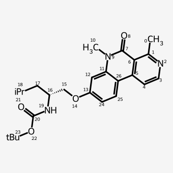 Cc1nccc2c1c(=O)n(C)c1cc(OC[C@@H](CC(C)C)NC(=O)OC(C)(C)C)ccc21